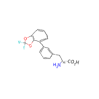 N[C@H](Cc1cccc(-c2cccc3c2OC(F)(F)O3)c1)C(=O)O